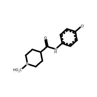 O=C(Nc1ccc(Cl)cc1)C1CCN(C(=O)O)CC1